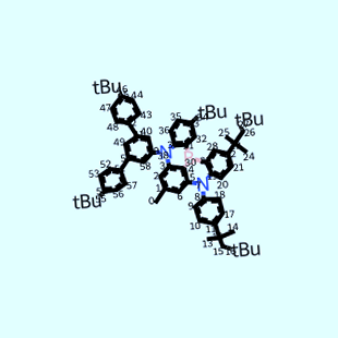 Cc1cc2c3c(c1)N(c1ccc(C(C)(C)CC(C)(C)C)cc1)c1ccc(C(C)(C)CC(C)(C)C)cc1B3c1cc(C(C)(C)C)ccc1N2c1cc(-c2ccc(C(C)(C)C)cc2)cc(-c2ccc(C(C)(C)C)cc2)c1